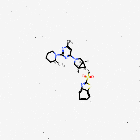 C[C@H]1CCCCN1c1nc(N2C[C@@H]3[C@H](C2)[C@H]3CS(=O)(=O)c2nc3ccccc3s2)cc(C(F)(F)F)n1